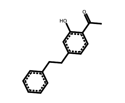 CC(=O)c1ccc(CCc2ccccc2)cc1O